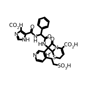 O=C(O)C1=CCS[C@@H]2N1C(=O)C2(NC(=O)C(NC(=O)c1[nH]cnc1C(=O)O)c1ccccc1)c1cnccc1CCS(=O)(=O)O